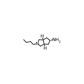 CCCCN1C[C@H]2C[C@H](N)C[C@H]2C1